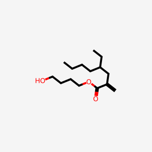 C=C(CC(CC)CCCC)C(=O)OCCCCO